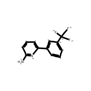 Nc1cccc(-c2cccc(C(F)(F)F)c2)n1